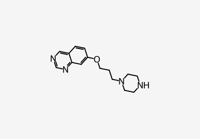 c1ncc2ccc(OCCCN3CCNCC3)cc2n1